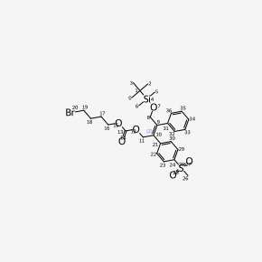 CC(C)(C)[Si](C)(C)OC/C(=C(\COC(=O)OCCCCBr)c1ccc(S(C)(=O)=O)cc1)c1ccccc1